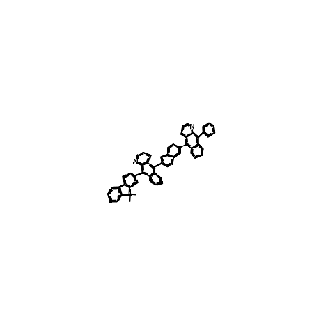 CC1(C)c2ccccc2-c2ccc(-c3c4ccccc4c(-c4ccc5cc(-c6c7ccccc7c(-c7ccccc7)c7ncccc67)ccc5c4)c4cccnc34)cc21